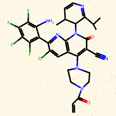 C=CC(=O)N1CCN(c2c(C#N)c(=O)n(C3C(C(C)C)=NC=CC3C)c3nc(-c4c(N)c(F)c(F)c(F)c4F)c(Cl)cc23)CC1